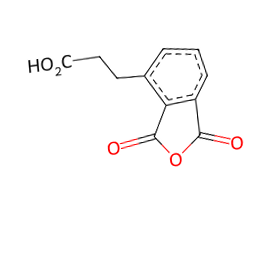 O=C(O)CCc1cccc2c1C(=O)OC2=O